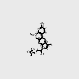 CCC(COS(C)(=O)=O)n1cc(C)c2nc(-c3ccc(C(C)C)nc3OC)c(C)nc21